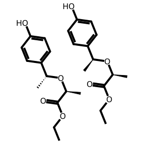 CCOC(=O)[C@H](C)O[C@@H](C)c1ccc(O)cc1.CCOC(=O)[C@H](C)O[C@H](C)c1ccc(O)cc1